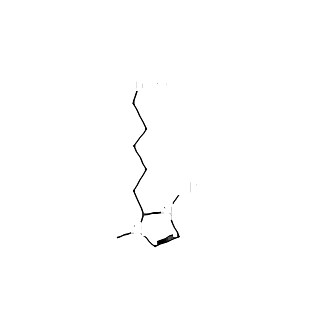 CCCCCCCCCCCCCCCC1N(CC)C=CN1CCCCC